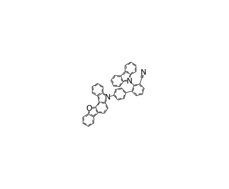 N#Cc1cccc(-c2ccc(-n3c4ccccc4c4c5oc6ccccc6c5ccc43)cc2)c1-n1c2ccccc2c2ccccc21